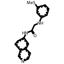 CSc1cccc(NCC(=O)Nc2ccc3cnccc3c2)c1